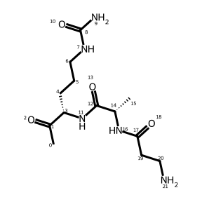 CC(=O)[C@H](CCCNC(N)=O)NC(=O)[C@H](C)NC(=O)CCN